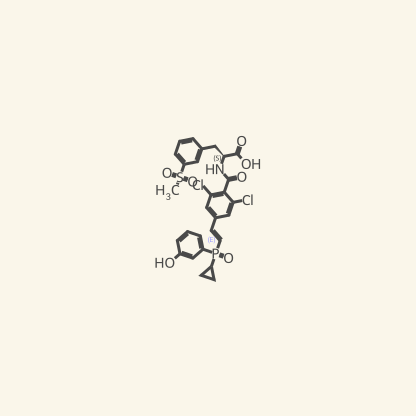 CS(=O)(=O)c1cccc(C[C@H](NC(=O)c2c(Cl)cc(/C=C/P(=O)(c3cccc(O)c3)C3CC3)cc2Cl)C(=O)O)c1